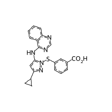 O=C(O)c1cccc(Sn2nc(C3CC3)cc2Nc2ncnc3ccccc23)c1